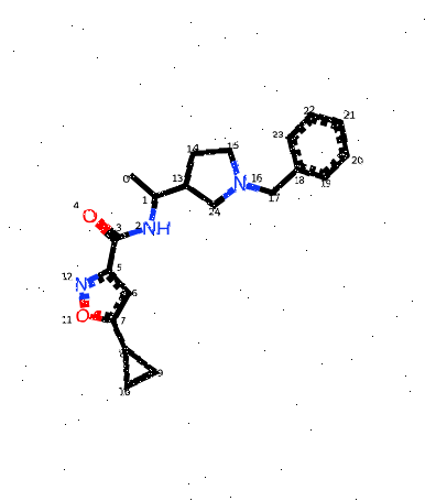 CC(NC(=O)c1cc(C2CC2)on1)C1CCN(Cc2ccccc2)C1